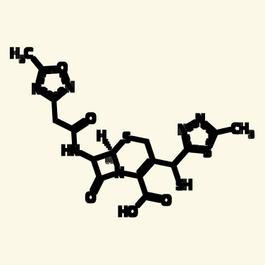 Cc1nc(CC(=O)NC2C(=O)N3C(C(=O)O)=C(C(S)c4nnc(C)s4)CS[C@H]23)no1